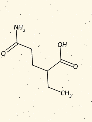 CCC(CCC(N)=O)C(=O)O